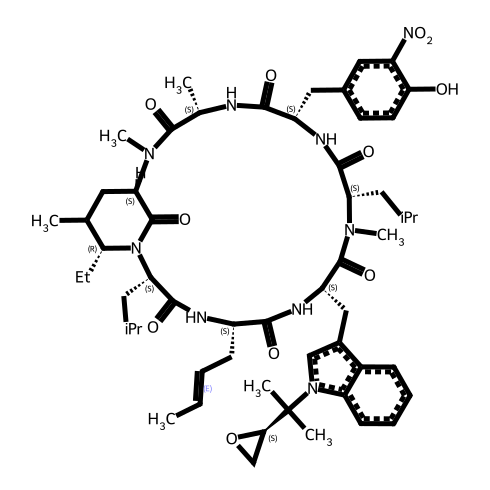 C/C=C/C[C@@H]1NC(=O)[C@H](CC(C)C)N2C(=O)[C@H](CC(C)[C@H]2CC)N(C)C(=O)[C@H](C)NC(=O)[C@H](Cc2ccc(O)c([N+](=O)[O-])c2)NC(=O)[C@H](CC(C)C)N(C)C(=O)[C@H](Cc2cn(C(C)(C)[C@H]3CO3)c3ccccc23)NC1=O